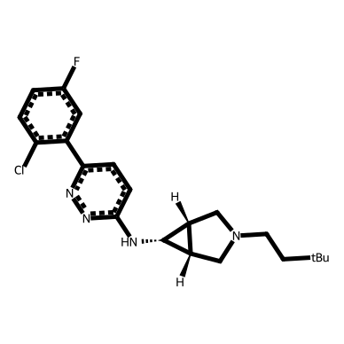 CC(C)(C)CCN1C[C@@H]2[C@H](C1)[C@@H]2Nc1ccc(-c2cc(F)ccc2Cl)nn1